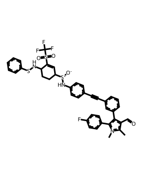 Cc1c(C=O)c(-c2cccc(C#Cc3ccc(N[S+]([O-])C4C=C(S(=O)(=O)C(F)(F)F)C(NSc5ccccc5)CC4)cc3)c2)c(-c2ccc(F)cc2)n1C